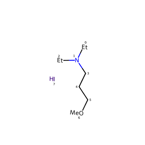 CCN(CC)CCCOC.I